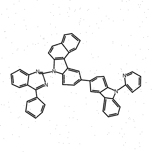 c1ccc(-c2nc(-n3c4ccc(-c5ccc6c(c5)c5ccccc5n6-c5ccccn5)cc4c4c5ccccc5ccc43)nc3ccccc23)cc1